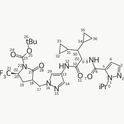 CC(C)n1nccc1C(=O)N[C@H](C(=O)Nc1cnn(CC2C[C@@H](C(F)(F)F)N(C(=O)OC(C)(C)C)C2=O)c1)C(C1CC1)C1CC1